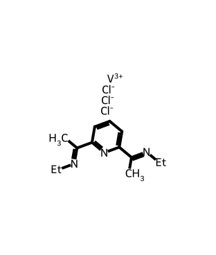 CCN=C(C)c1cccc(C(C)=NCC)n1.[Cl-].[Cl-].[Cl-].[V+3]